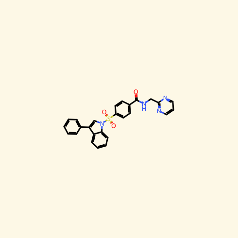 O=C(NCc1ncccn1)c1ccc(S(=O)(=O)n2cc(-c3ccccc3)c3ccccc32)cc1